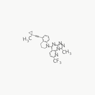 Cc1nnc2nc(N3CCCc4c(C#CC5(C)CC5)cccc43)c3ccc(C(F)(F)F)nc3n12